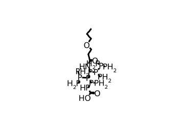 CCCOCCC(=O)NP(P(P)P(P)P)P(P(P)P)P(P)PC(=O)O